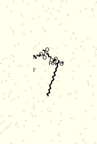 CCCCCCCCCCCCCCCC(NC(=O)OCCCN(C(C)=O)C(=O)OCC[N+](C)(C)C)C(C)OC.[I-]